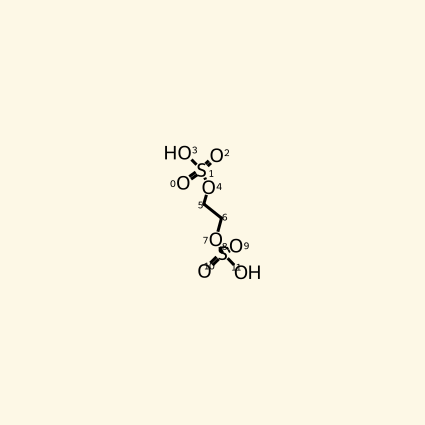 O=S(=O)(O)OCCOS(=O)(=O)O